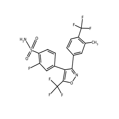 Cc1cc(-c2noc(C(F)(F)F)c2-c2ccc(S(N)(=O)=O)c(F)c2)ccc1C(F)(F)F